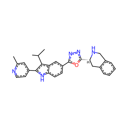 Cc1cc(-c2[nH]c3ccc(-c4nnc([C@H]5Cc6ccccc6CN5)o4)cc3c2C(C)C)ccn1